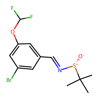 CC(C)(C)[S@@+]([O-])/N=C/c1cc(Br)cc(OC(F)F)c1